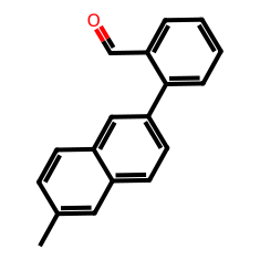 Cc1ccc2cc(-c3ccccc3C=O)ccc2c1